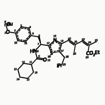 CCCCOc1ccc(C[C@H](NC(=O)C2CCCCC2)c2nc(/C=C(C)/C=C(/C)C(=O)OCC)c(CC(C)C)s2)cc1